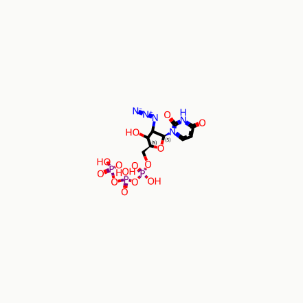 [N-]=[N+]=NC1C(O)[C@H](COP(=O)(O)OP(=O)(O)OP(=O)(O)O)O[C@@H]1n1ccc(=O)[nH]c1=O